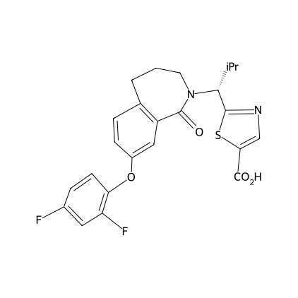 CC(C)[C@H](c1ncc(C(=O)O)s1)N1CCCc2ccc(Oc3ccc(F)cc3F)cc2C1=O